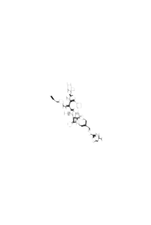 C#CCON=C(C(=O)NC1C(=O)N2C=C(CSc3nncs3)CS[C@@H]12)c1nc(N)sc1Cl